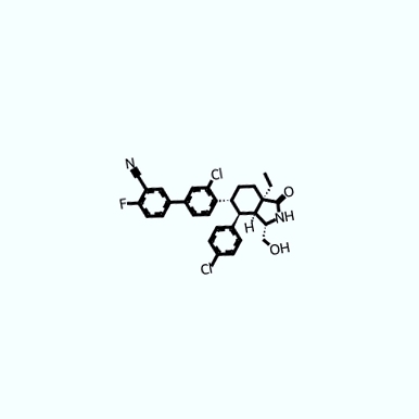 CC[C@@]12CC[C@@H](c3ccc(-c4ccc(F)c(C#N)c4)cc3Cl)[C@H](c3ccc(Cl)cc3)[C@@H]1[C@@H](CO)NC2=O